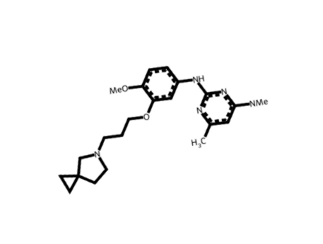 CNc1cc(C)nc(Nc2ccc(OC)c(OCCCN3CCC4(CC4)C3)c2)n1